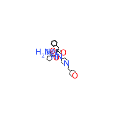 NC(=O)C1(C(=O)N[C@H](Cc2ccccc2)C(=O)NC2CCN(CCC3CCOCC3)CC2)CCCC1